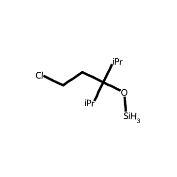 CC(C)C(CCCl)(O[SiH3])C(C)C